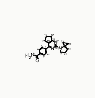 NC(=O)c1ccc(-c2nc(N3CCCC34CC4)nc3c2CCC3)cc1